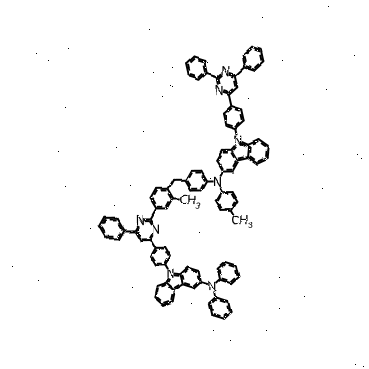 Cc1ccc(N(c2ccc(Cc3ccc(-c4nc(-c5ccccc5)cc(-c5ccc(-n6c7ccccc7c7cc(N(c8ccccc8)c8ccccc8)ccc76)cc5)n4)cc3C)cc2)c2ccc3c(c2)c2ccccc2n3-c2ccc(-c3cc(-c4ccccc4)nc(-c4ccccc4)n3)cc2)cc1